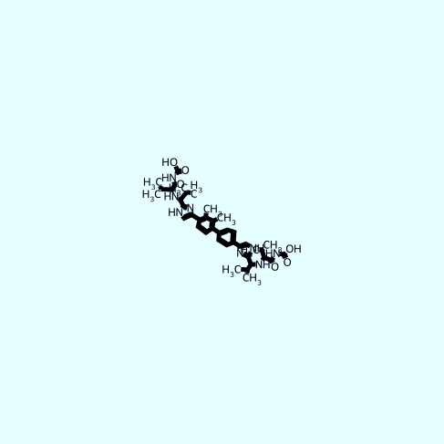 Cc1c(-c2ccc(-c3c[nH]c(C(NC(C(=O)NC(=O)O)C(C)C)C(C)C)n3)cc2)ccc(-c2c[nH]c([C@H](N[C@@H](C(=O)NC(=O)O)C(C)C)C(C)C)n2)c1C